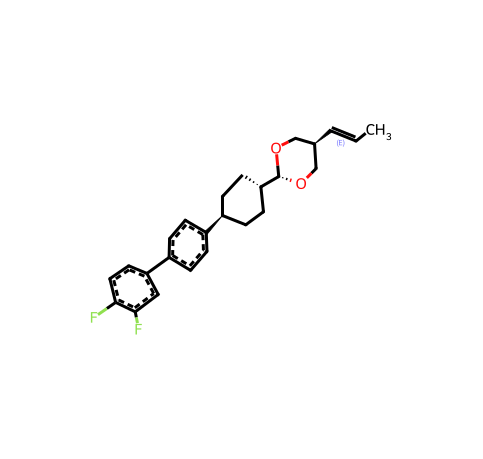 C/C=C/[C@H]1CO[C@H]([C@H]2CC[C@H](c3ccc(-c4ccc(F)c(F)c4)cc3)CC2)OC1